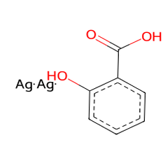 O=C(O)c1ccccc1O.[Ag].[Ag]